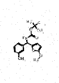 COc1ccc(C(NC(=O)OC(C)(C)C)c2cccc(C)c2)o1